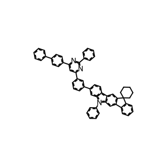 c1ccc(-c2ccc(-c3cc(-c4cccc(-c5ccc6c7cc8c(cc7n(-c7ccccc7)c6c5)-c5ccccc5C85CCCCC5)c4)nc(-c4ccccc4)n3)cc2)cc1